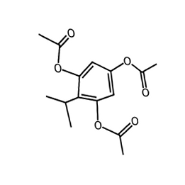 CC(=O)Oc1cc(OC(C)=O)c(C(C)C)c(OC(C)=O)c1